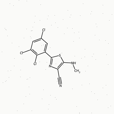 CNc1sc(-c2cc(Cl)cc(Cl)c2Cl)nc1C#N